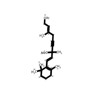 COC(C)(C#CC/C(C)=C/COC(C)=O)/C=C/C1=C(C)CCCC1(C)C